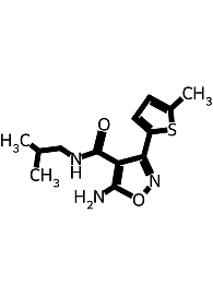 Cc1ccc(-c2noc(N)c2C(=O)NCC(C)C)s1